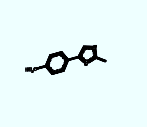 Cc1ncc(-c2ccc(C(=O)O)cc2)o1